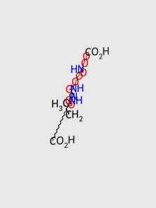 C=C/C(=C\C=C(/C)S(=O)(=O)Nc1ccc(C(=O)NCCOCCOCC(=O)NCCOCCOCC(=O)O)cn1)CCCCCCCCCCCCCC(=O)O